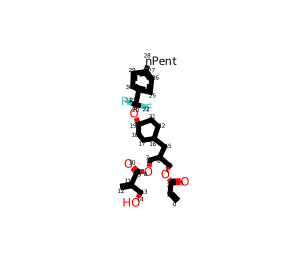 C=CC(=O)OCC(COC(=O)C(=C)CO)CC1CCC(OC(F)(F)c2ccc(CCCCC)cc2)CC1